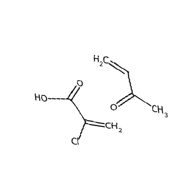 C=C(Cl)C(=O)O.C=CC(C)=O